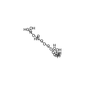 C[C@]1(COCCOCCOCCOCCNC(=O)CCOCCN2C[C@@H](O)[C@@H](O)C2)O[C@H](O)[C@@H](NC(=O)C(F)(F)F)[C@@H](O)[C@H]1O